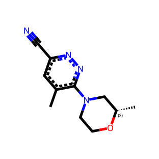 Cc1cc(C#N)nnc1N1CCO[C@@H](C)C1